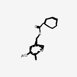 CC(=O)Oc1cc(COC(=O)C2CCCCC2)cnc1C